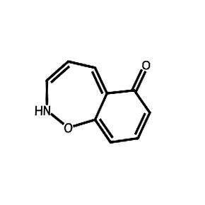 O=C1C=CC=C2ONC=CC=C12